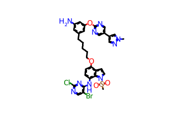 Cn1cc(-c2cnc(Oc3cc(N)cc(CCCCCOc4ccc(Nc5nc(Cl)ncc5Br)c5c4ccn5S(C)(=O)=O)c3)nc2)cn1